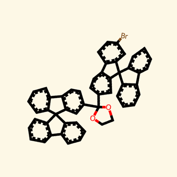 Brc1ccc2c(c1)C1(c3ccccc3-c3ccccc31)c1cc(C3(c4ccc5c(c4)C4(c6ccccc6-c6ccccc64)c4ccccc4-5)OCCO3)ccc1-2